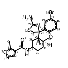 Cc1oncc1C(=O)NC1CC[C@@H]2Oc3ccc(Br)cc3C3(CSC(N)=N3)[C@H]2C1